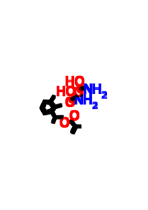 C=C(C)C(=O)OCC(C)c1cccc(C)c1C.NC(=O)O.NC(=O)O